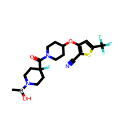 CB(O)N1CCC(F)(C(=O)N2CCC(Oc3cc(C(F)(F)F)sc3C#N)CC2)CC1